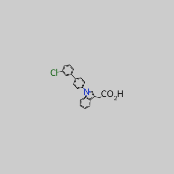 O=C(O)Cc1cn(-c2ccc(-c3cccc(Cl)c3)cc2)c2ccccc12